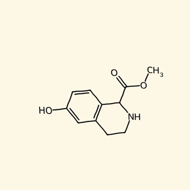 COC(=O)C1NCCc2cc(O)ccc21